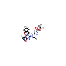 CCCN(CCCNC(=O)OC(C)(C)C)c1nc2onc(C)c2c(=O)n1Cc1ccccc1